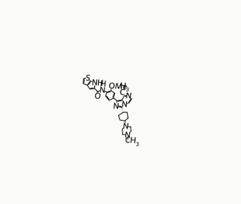 COc1cc(-c2nc([C@H]3CC[C@H](N4CCN(C)CC4)CC3)n3ccnc(C)c23)ccc1NC(=O)c1cc2ccsc2[nH]1